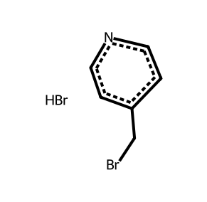 Br.BrCc1ccncc1